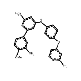 COc1ccc(-c2cc(Nc3ccc(Oc4ccnc(C(F)(F)F)c4)cc3)nc(N)n2)cc1N